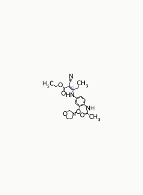 CCOC(=O)/C(C#N)=C(/CC)Nc1ccc(NC(C)=O)c(O[C@H]2CCOC2)c1